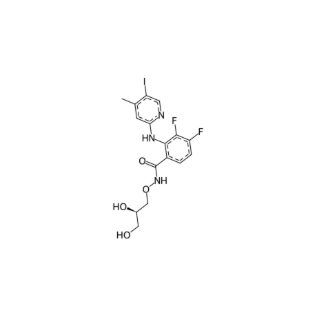 Cc1cc(Nc2c(C(=O)NOC[C@H](O)CO)ccc(F)c2F)ncc1I